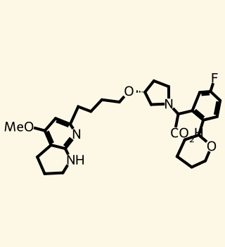 COc1cc(CCCCO[C@@H]2CCN(C(C(=O)O)c3cc(F)ccc3C3CCCCO3)C2)nc2c1CCCN2